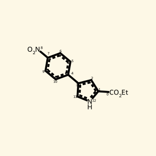 CCOC(=O)c1cc(-c2ccc([N+](=O)[O-])cc2)c[nH]1